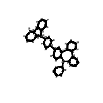 c1ccc(N2c3ccccc3-c3ccccc3-c3cc(-c4ccc(-n5c6ccccc6c6ncccc65)cc4)ccc32)cc1